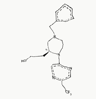 OCC[C@H]1CN(Cc2ccccc2)CCN1c1cnc(C(F)(F)F)cn1